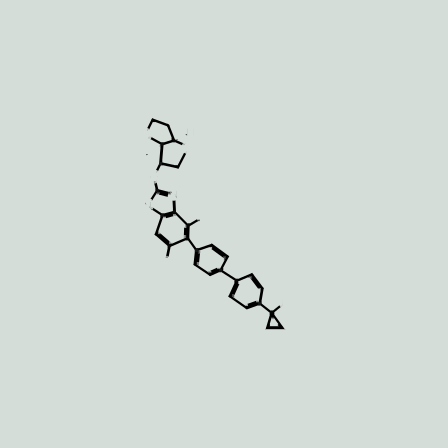 O=C(O)C1(c2ccc(-c3ccc(-c4c(F)cc5[nH]c(OC6CO[C@@H]7CCO[C@H]67)nc5c4F)cc3)cc2)CC1